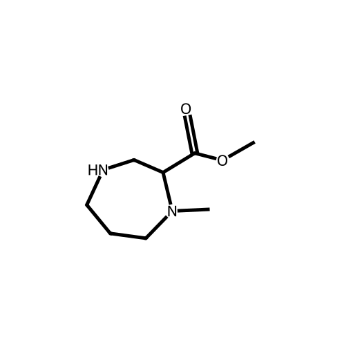 COC(=O)C1CNCCCN1C